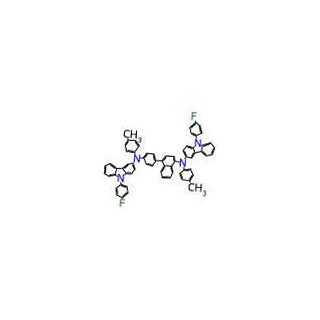 Cc1ccc(N(c2ccc(-c3ccc(N(c4ccc(C)cc4)c4ccc5c(c4)c4ccccc4n5-c4ccc(F)cc4)c4ccccc34)cc2)c2ccc3c(c2)c2ccccc2n3-c2ccc(F)cc2)cc1